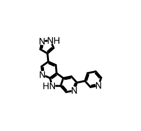 c1cncc(-c2cc3c(cn2)[nH]c2ncc(-c4cn[nH]c4)cc23)c1